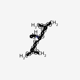 C=CC(=O)OCOc1ccc(OC(=O)C2CCC(C(=O)OCCc3ccc(OC(=O)C4CCC(C(=O)Oc5ccc(OCOC(=O)C=C)c(OCOC(=O)C=C)c5)CC4)c(/C=N/Nc4nc5ccccc5s4)c3)CC2)cc1OCOC(=O)C=C